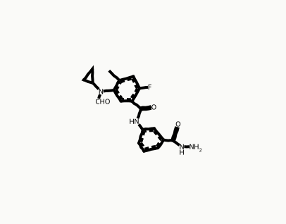 Cc1cc(F)c(C(=O)Nc2cccc(C(=O)NN)c2)cc1N(C=O)C1CC1